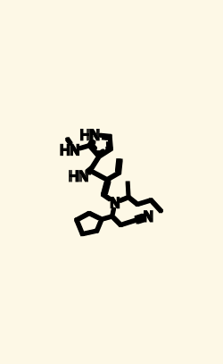 C=C/C(=C\N(C(C)CCC)C(CC#N)C1CCCC1)C(=N)c1cc[nH]c1NC